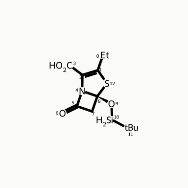 CCC1=C(C(=O)O)N2C(=O)C[C@@]2(O[SiH2]C(C)(C)C)S1